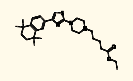 CCOC(=O)CCCCN1CCN(c2nc(-c3ccc4c(c3)C(C)(C)CCC4(C)C)cs2)CC1